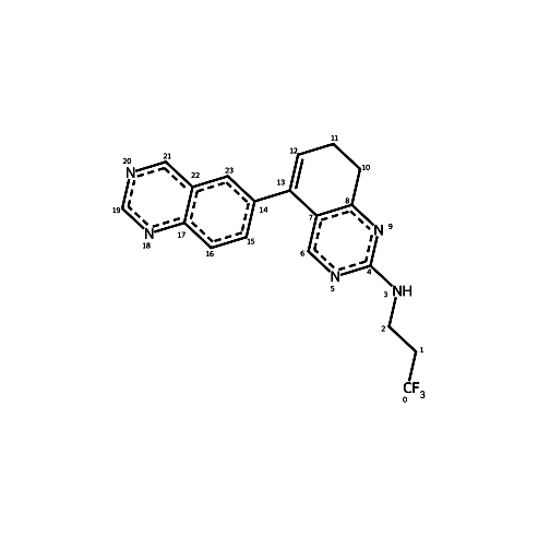 FC(F)(F)CCNc1ncc2c(n1)CCC=C2c1ccc2ncncc2c1